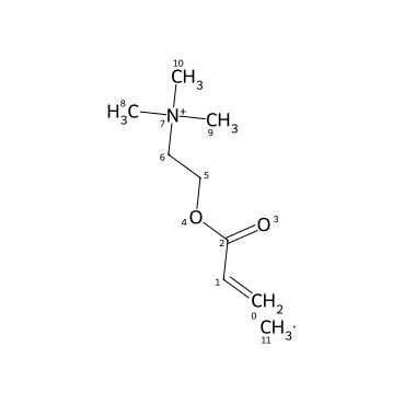 C=CC(=O)OCC[N+](C)(C)C.[CH3]